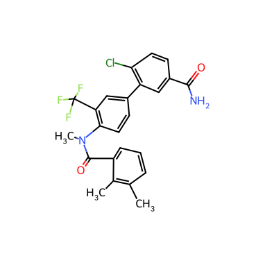 Cc1cccc(C(=O)N(C)c2ccc(-c3cc(C(N)=O)ccc3Cl)cc2C(F)(F)F)c1C